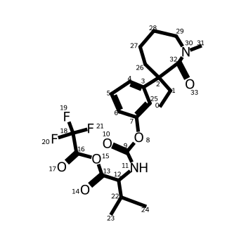 CCC1(c2cccc(OC(=O)NC(C(=O)OC(=O)C(F)(F)F)C(C)C)c2)CCCCN(C)C1=O